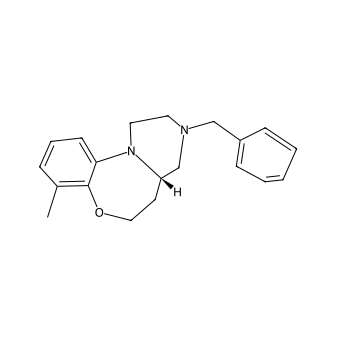 Cc1cccc2c1OCC[C@H]1CN(Cc3ccccc3)CCN21